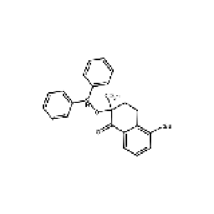 CCOC(=O)C1(O[SiH](c2ccccc2)c2ccccc2)CCc2c(cccc2C(C)(C)C)C1=O